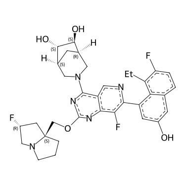 CCc1c(F)ccc2cc(O)cc(-c3ncc4c(N5C[C@H]6C[C@@H](C5)[C@H](O)[C@H]6O)nc(OC[C@@]56CCCN5C[C@H](F)C6)nc4c3F)c12